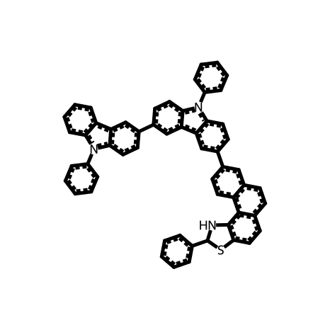 c1ccc(C2Nc3c(ccc4ccc5cc(-c6ccc7c(c6)c6cc(-c8ccc9c(c8)c8ccccc8n9-c8ccccc8)ccc6n7-c6ccccc6)ccc5c34)S2)cc1